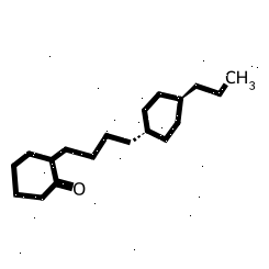 CCC[C@H]1CC[C@H](CCCCC2CCCCC2=O)CC1